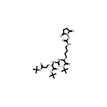 CC(C)(C)OC(=O)CC[C@H](NC(=O)N[C@@H](CCCCNC(=O)ON1C(=O)CCC1=O)C(=O)OC(C)(C)C)C(=O)OC(C)(C)C